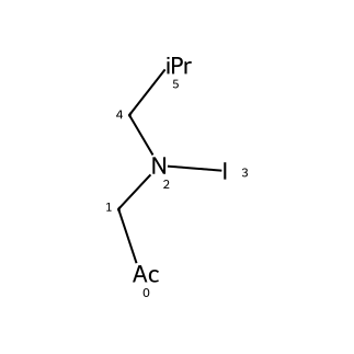 CC(=O)CN(I)CC(C)C